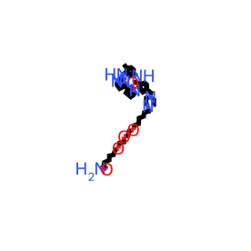 Cc1ccc(NC(=O)c2ccc(CN3CCN(CCCCCCOCCOCCOCCCCCC(N)=O)CC3)cc2)cc1Nc1nccc(-c2cccnc2)n1